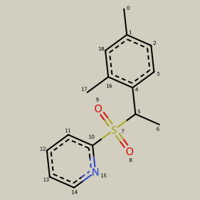 Cc1ccc(C(C)S(=O)(=O)c2ccccn2)c(C)c1